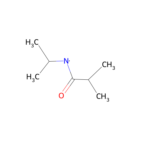 CC(C)[N]C(=O)C(C)C